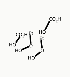 CCOO.CCOO.O=C(O)O.O=C(O)O